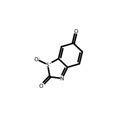 O=C1C=CC2=NC(=O)[S+]([O-])C2=C1